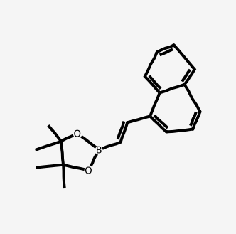 CC1(C)OB(/C=C/c2cccc3ccccc23)OC1(C)C